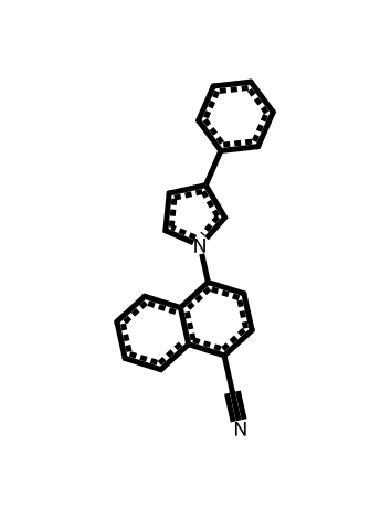 N#Cc1ccc(-n2ccc(-c3ccccc3)c2)c2ccccc12